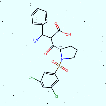 NC(c1ccccc1)C(C(=O)O)C(=O)[C@@H]1CCCN1S(=O)(=O)c1cc(Cl)cc(Cl)c1